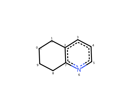 [C]1[C]c2cccnc2CC1